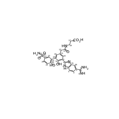 N=C(N)c1ccc2[nH]c(-c3cc(CC(=O)NCCC(=O)O)cc(-c4cc(S(N)(=O)=O)ccc4O)c3O)nc2c1